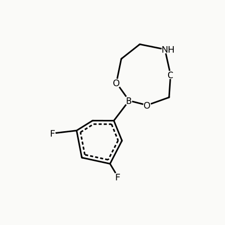 Fc1cc(F)cc(B2OCCNCCO2)c1